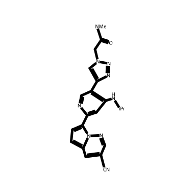 CNC(=O)Cn1cc(-c2cnc(-c3ccc4cc(C#N)cnn34)cc2NC(C)C)nn1